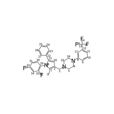 Cc1c(CN2CCN(c3cccc(C(F)(F)F)c3)CC2)cc(-c2ccccc2)n1-c1ccc(F)cc1F